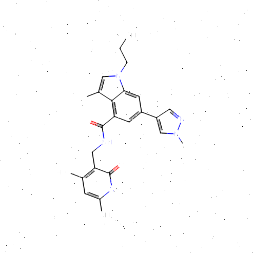 CCCn1cc(C)c2c(C(=O)NCc3c(C)cc(C)[nH]c3=O)cc(-c3cnn(C)c3)cc21